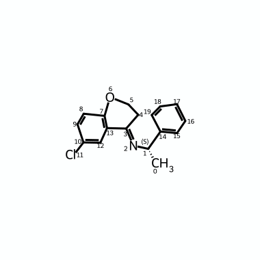 C[C@H](N=C1CCOc2ccc(Cl)cc21)c1ccccc1